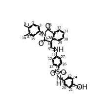 Cc1ccc(N2C(=O)/C(=C/Nc3ccc(S(=O)(=O)Nc4ccc(O)cc4)cc3)c3ccccc3C2=O)cc1C